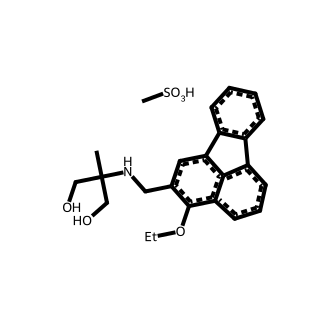 CCOc1c(CNC(C)(CO)CO)cc2c3c(cccc13)-c1ccccc1-2.CS(=O)(=O)O